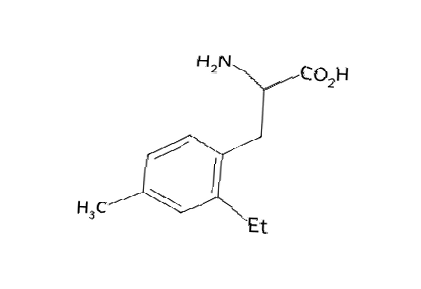 CCc1cc(C)ccc1CC(N)C(=O)O